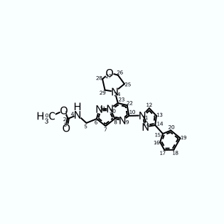 COC(=O)NCc1cc2nc(-n3ccc(-c4ccccc4)n3)cc(N3CCOCC3)n2n1